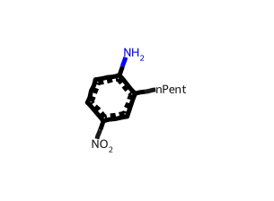 CCCCCc1cc([N+](=O)[O-])ccc1N